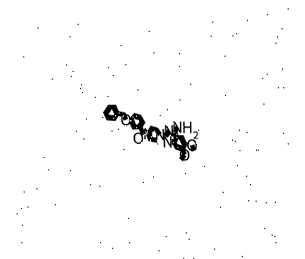 COc1cc2nc(N3CCN(C(=O)c4cccc(OCc5ccccc5)c4)CC3)nc(N)c2cc1OC